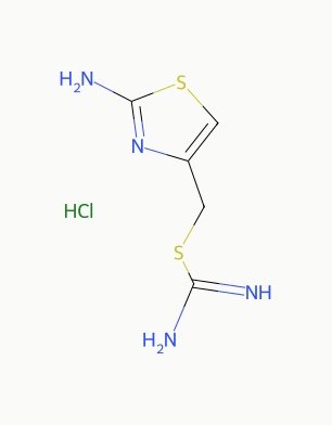 Cl.N=C(N)SCc1csc(N)n1